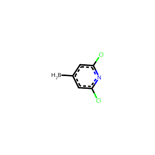 Bc1cc(Cl)nc(Cl)c1